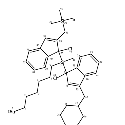 CC(C)(C)CCCCCC[Si](C)(C1(Cl)C=C(CC2CCCCC2)c2ccccc21)C1(Cl)C(C[Si](C)(C)C)=Cc2ccccc21